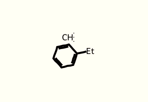 CCc1ccccc1.[CH]